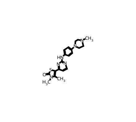 Cc1c(-c2ccnc(Nc3ccc(N4CCN(C)CC4)cc3)n2)sc(=O)n1C